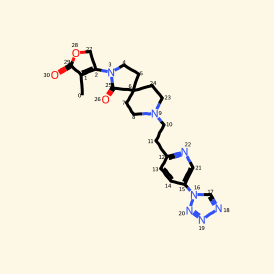 CC1=C(N2CCC3(CCN(CCc4ccc(-n5cnnn5)cn4)CC3)C2=O)COC1=O